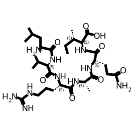 CC[C@H](C)[C@H](NC(=O)[C@H](CCC(N)=O)NC(=O)[C@H](C)NC(=O)[C@H](CCCNC(=N)N)NC(=O)[C@@H](NC(=O)[C@@H](N)CC(C)C)C(C)C)C(=O)O